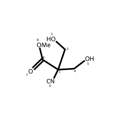 [C-]#[N+]C(CO)(CO)C(=O)OC